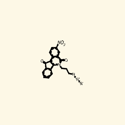 [N-]=[N+]=NCCCn1c2c(c3ccc([N+](=O)[O-])cc3c1=O)C(=O)c1ccccc1-2